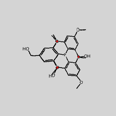 COc1cc(CO)c(P(c2c(CO)cc(OC)cc2OC)c2c(OC)cc(CO)cc2OC)c(OC)c1